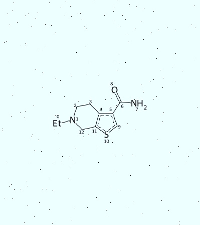 CCN1CCc2c(C(N)=O)csc2C1